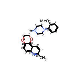 COc1ccccc1N1CCN(C[C@H]2COc3ccc4nc(C)ccc4c3O2)CC1